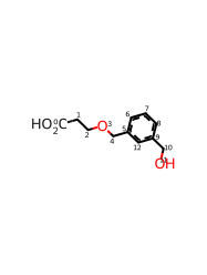 O=C(O)CCOCc1cccc(CO)c1